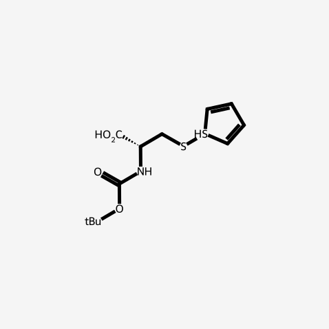 CC(C)(C)OC(=O)N[C@@H](CS[SH]1C=CC=C1)C(=O)O